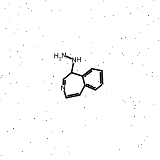 NNC1C=NC=Cc2ccccc21